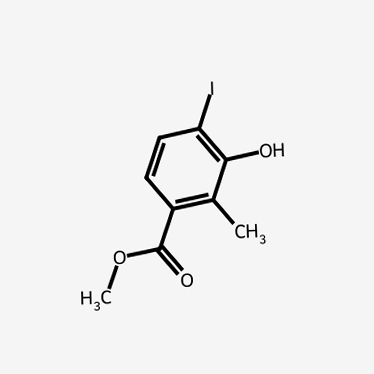 COC(=O)c1ccc(I)c(O)c1C